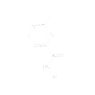 [2H]NC(=O)c1cccc(C)n1